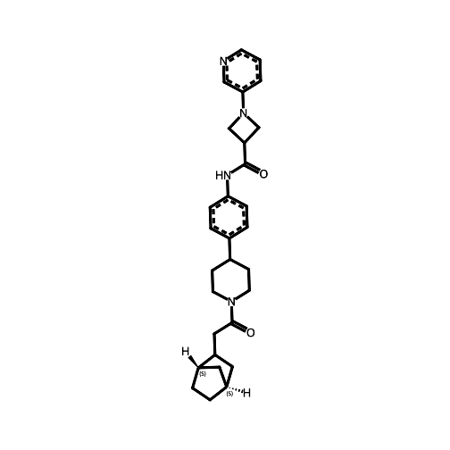 O=C(Nc1ccc(C2CCN(C(=O)CC3C[C@H]4CC[C@H]3C4)CC2)cc1)C1CN(c2cccnc2)C1